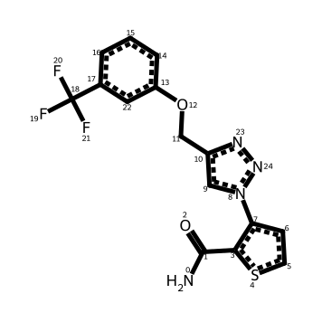 NC(=O)c1sccc1-n1cc(COc2cccc(C(F)(F)F)c2)nn1